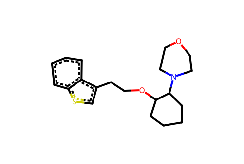 c1ccc2c(CCOC3CCCCC3N3CCOCC3)csc2c1